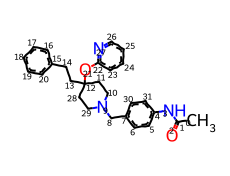 CC(=O)Nc1ccc(CN2CCC(CCc3ccccc3)(Oc3ccccn3)CC2)cc1